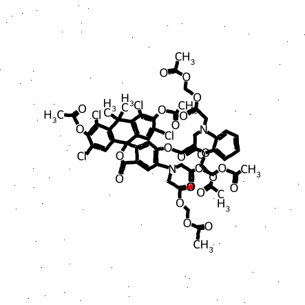 CC(=O)OCOC(=O)CN(CC(=O)OCOC(C)=O)c1ccccc1OCCOc1cc2c(cc1N(CC(=O)OCOC(C)=O)CC(=O)OCOC(C)=O)C(=O)OC21c2cc(Cl)c(OC(C)=O)c(Cl)c2C(C)(C)c2c1cc(Cl)c(OC(C)=O)c2Cl